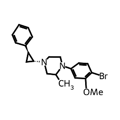 COc1cc(N2CCN([C@@H]3C[C@H]3c3ccccc3)CC2C)ccc1Br